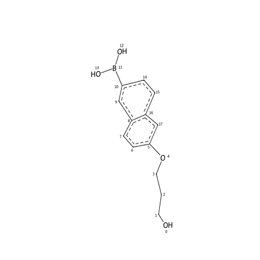 OCCCOc1ccc2cc(B(O)O)ccc2c1